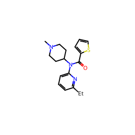 CCc1cccc(N(C(=O)c2cccs2)C2CCN(C)CC2)n1